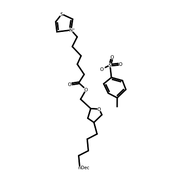 CCCCCCCCCCCCCCC1COC(COC(=O)CCCCC[n+]2ccsc2)C1.Cc1ccc(S(=O)(=O)[O-])cc1